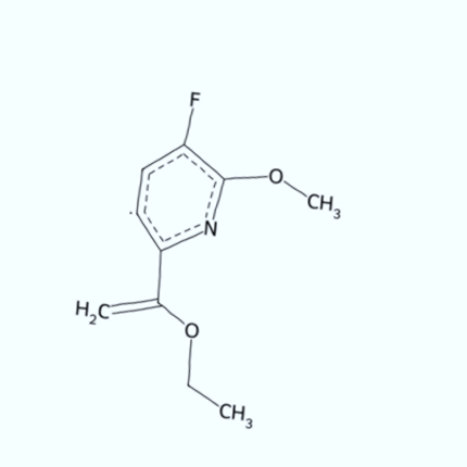 C=C(OCC)c1[c]cc(F)c(OC)n1